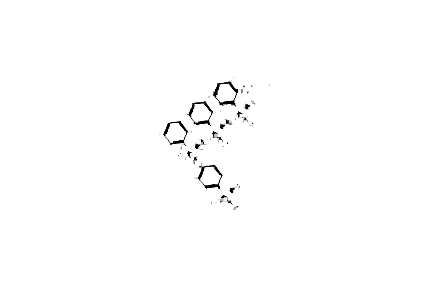 O=S(=O)([O-])c1ccccc1.O=S(=O)([O-])c1ccccc1.O=S(=O)([O-])c1ccccc1.O=S(=O)([O-])c1ccccc1.[Mo+4]